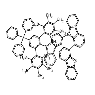 Bc1c(B)c(B)c(-c2cc(S(c3ccccc3)(c3ccccc3)c3ccccc3)cc(-c3c(B)c(B)c(B)c(B)c3B)c2-n2c3ccccc3c3cc(-n4c5ccccc5c5cccc(-c6cccc7c6sc6ccccc67)c54)ccc32)c(B)c1B